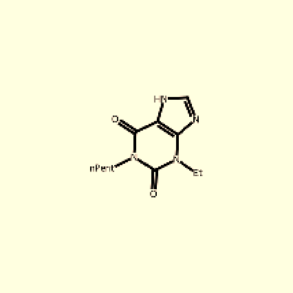 CCCCCn1c(=O)c2[nH]cnc2n(CC)c1=O